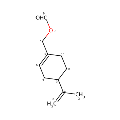 C=C(C)C1CC=C(CO[C]=O)CC1